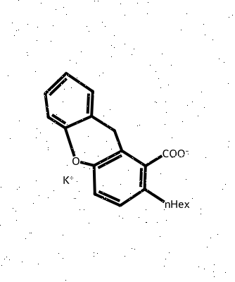 CCCCCCc1ccc2c(c1C(=O)[O-])Cc1ccccc1O2.[K+]